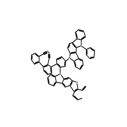 C=Cc1oc2cc3c(cc2c1/C=C\C)c1ccccc1n3-c1cc(-n2c3ccccc3c3c2ccc2c4ccccc4n(-c4ccccc4)c23)ccc1-c1cccc(-c2ccccc2C#N)c1C#N